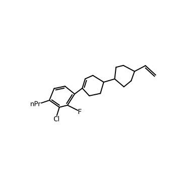 C=CC1CCC(C2CC=C(c3ccc(CCC)c(Cl)c3F)CC2)CC1